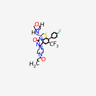 C=CC(=O)N1CCN(c2nc(=O)n3c4c(c(-c5ccc(F)cc5)c(C(F)(F)F)cc24)SC[C@@H]3CN2C[C@@H]3C[C@H]2CO3)CC1